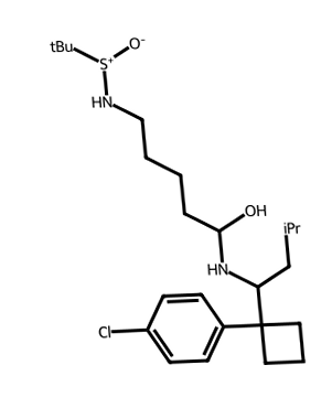 CC(C)CC(NC(O)CCCCN[S+]([O-])C(C)(C)C)C1(c2ccc(Cl)cc2)CCC1